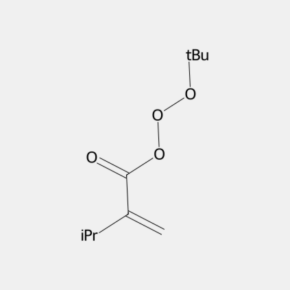 C=C(C(=O)OOOC(C)(C)C)C(C)C